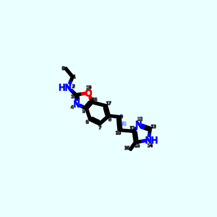 CCNc1nc2ccc(/C=C/c3nc[nH]c3C)cc2o1